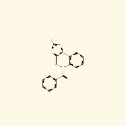 Nc1nc2c(s1)CN(C(=O)c1ccccc1)c1ccccc1-2